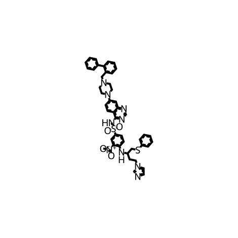 O=[N+]([O-])c1cc(S(=O)(=O)Nc2ncnc3cc(N4CCN(Cc5ccccc5-c5ccccc5)CC4)ccc23)ccc1NC(CCn1ccnc1)CSc1ccccc1